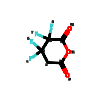 O=C1CC(F)(F)C(F)(F)C(=O)O1